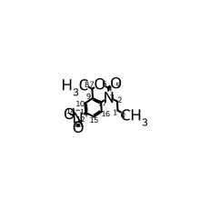 CCCN1C(=O)OC(C)c2cc([N+](=O)[O-])ccc21